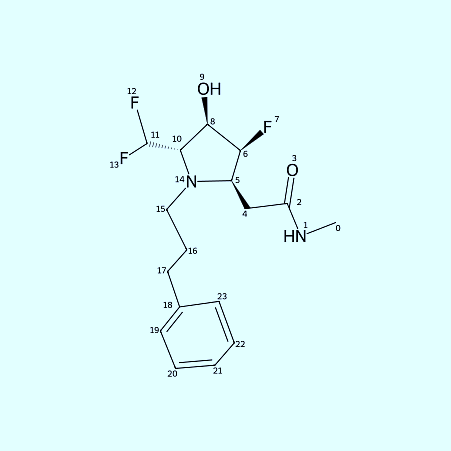 CNC(=O)C[C@@H]1[C@H](F)[C@H](O)[C@@H](C(F)F)N1CCCc1ccccc1